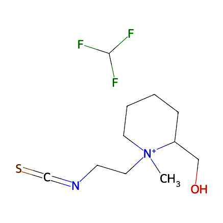 C[N+]1(CCN=C=S)CCCCC1CO.FC(F)F